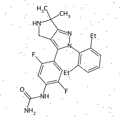 CCc1cccc(CC)c1-n1nc2c(c1-c1cc(F)c(NC(N)=O)cc1F)CNC2(C)C